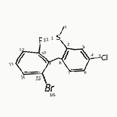 CSc1cc(Cl)ccc1-c1c(F)cccc1Br